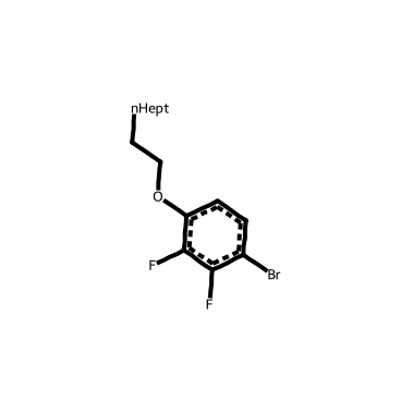 CCCCCCCCCOc1ccc(Br)c(F)c1F